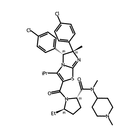 CC[C@@H]1CC[C@@H](C(=O)N(C)C2CCN(C)CC2)N1C(=O)C1=C(C(C)C)N2C(=N[C@@](C)(c3ccc(Cl)cc3)[C@H]2c2ccc(Cl)cc2)S1